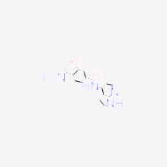 N[C@@H]1CCOc2cc(C(=O)Nc3ccnc4[nH]ccc34)ccc21